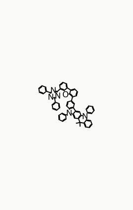 CC1(C)c2ccccc2N(c2ccccc2)c2cc3c4cc(-c5cccc6c5oc5c(-c7nc(-c8ccccc8)nc(-c8ccccc8)n7)cccc56)ccc4n(-c4ccccc4)c3cc21